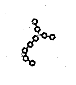 C1=CC(c2ccc(N(c3ccc(-c4ccccc4)cc3)C3C=CC(c4ccc(-c5ccc6sc7c(c6c5)C=C(c5ccccc5)CC7)cc4)=CC3)cc2)=CCC1